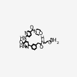 BOCCNC(=O)Cc1cccc(-c2cc(Nc3ccc(C(=O)N4CCOCC4)cn3)c(=O)[nH]n2)c1